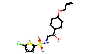 C=CCOC1CCC([C@@H](O)CNS(=O)(=O)c2ccc(Cl)s2)CC1